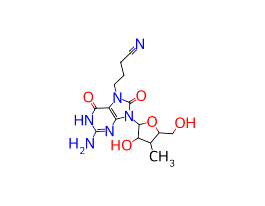 CC1C(CO)OC(n2c(=O)n(CCCC#N)c3c(=O)[nH]c(N)nc32)C1O